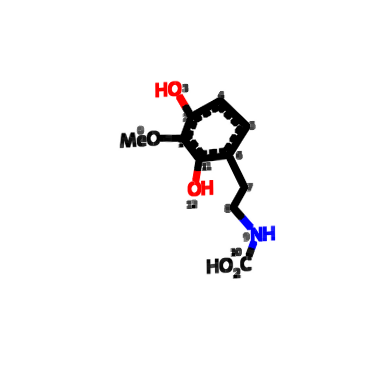 COc1c(O)ccc(CCNC(=O)O)c1O